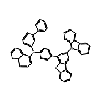 c1ccc(-c2cccc(N(c3ccc(-c4cc(-n5c6ccccc6c6ccccc65)cc5c4oc4ccccc45)cc3)c3cccc4ccccc34)c2)cc1